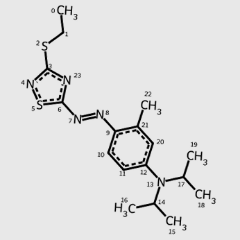 CCSc1nsc(/N=N/c2ccc(N(C(C)C)C(C)C)cc2C)n1